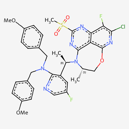 COc1ccc(CN(Cc2ccc(OC)cc2)c2ncc(F)cc2[C@@H](C)N2c3nc(S(C)(=O)=O)nc4c(F)c(Cl)nc(c34)OC[C@@H]2C)cc1